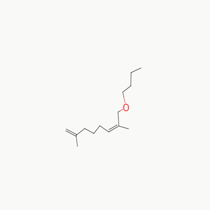 C=C(C)CCCC=C(C)COCCCC